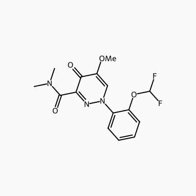 COc1cn(-c2ccccc2OC(F)F)nc(C(=O)N(C)C)c1=O